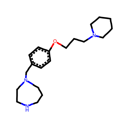 c1cc(OCCCN2CCCCC2)ccc1CN1CCCNCC1